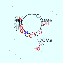 [2H]C([2H])([2H])O[C@H]1C[C@@H]2CC([2H])([2H])[C@@H](C)[C@@](O)(O2)C(=O)C(=O)N2CCCC[C@H]2C(=O)O[C@H]([C@H](C)C[C@@H]2CC[C@@H](OCCO)[C@H](OC)C2)CC(=O)[C@H](C)/C=C(\C)[C@@H](O)[C@@H](OC)C(=C)[C@H](C)C[C@H](C)/C=C/C=C/C=C/1C